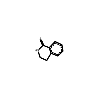 S=C1NCCc2ccccc21